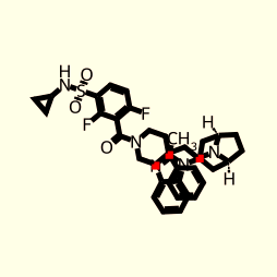 Cc1nc2ccccc2n1C1C[C@H]2CC[C@@H](C1)N2CCC1(c2ccccc2)CCN(C(=O)c2c(F)ccc(S(=O)(=O)NC3CC3)c2F)CC1